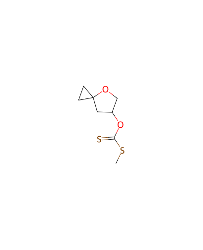 CSC(=S)OC1COC2(CC2)C1